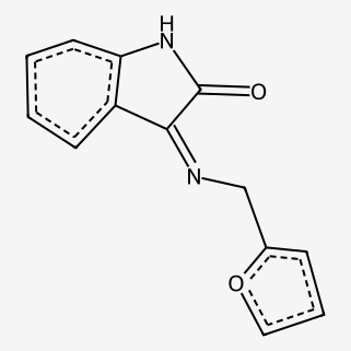 O=C1Nc2ccccc2/C1=N/Cc1ccco1